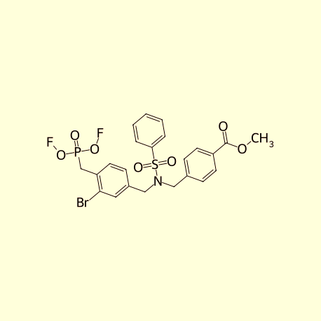 COC(=O)c1ccc(CN(Cc2ccc(CP(=O)(OF)OF)c(Br)c2)S(=O)(=O)c2ccccc2)cc1